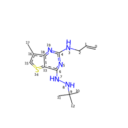 C=CCNc1nc(NNC(C)(C)C)c2scc(C)c2n1